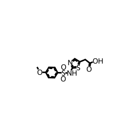 COc1ccc(S(=O)(=O)Nc2ncc(CC(=O)O)s2)cc1